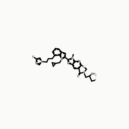 Cn1c(-c2cc3cccc(CCCn4cnc(F)c4)c3n2CC2CC2)nc2cc3c(nc21)CCN(CC(N)CF)C3=O